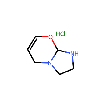 C1=COC2NCCN2C1.Cl